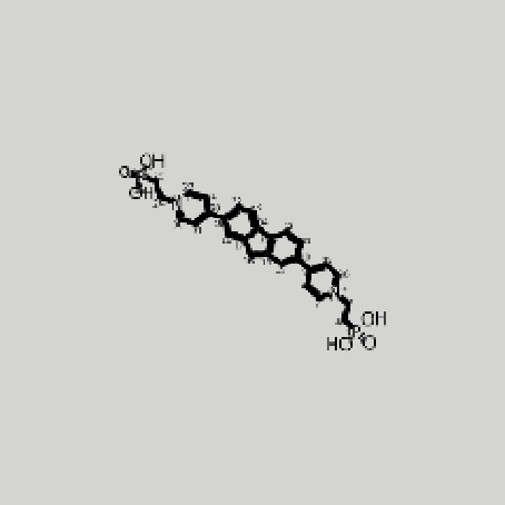 O=P(O)(O)CC[n+]1ccc(-c2ccc3c(c2)Cc2cc(-c4cc[n+](CCP(=O)(O)O)cc4)ccc2-3)cc1